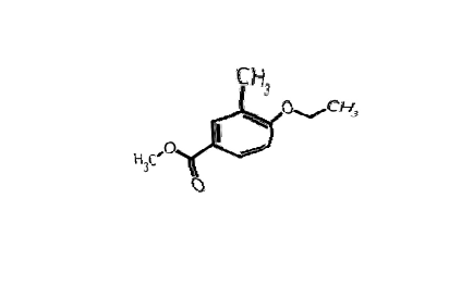 CCOc1ccc(C(=O)OC)cc1C